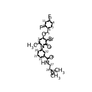 Cc1cc(OCc2ccc(F)cc2F)c(Br)c(=O)n1-c1cccc(C(=O)NCCN(C)C)c1